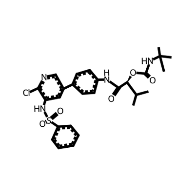 CC(C)[C@H](OC(=O)NC(C)(C)C)C(=O)Nc1ccc(-c2cnc(Cl)c(NS(=O)(=O)c3ccccc3)c2)cc1